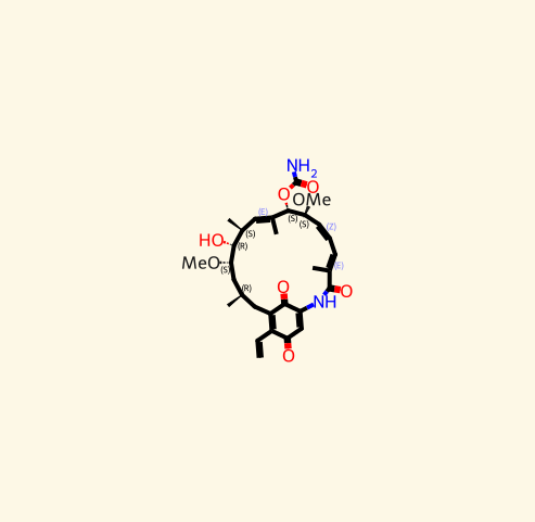 C=CC1=C2C[C@@H](C)C[C@H](OC)[C@H](O)[C@@H](C)/C=C(\C)[C@H](OC(N)=O)[C@@H](OC)/C=C\C=C(/C)C(=O)NC(=CC1=O)C2=O